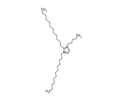 CCCCCCCCCCCCC[n+]1ccn(CCCCC)c1CCCCCCCCCCCC